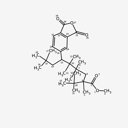 COC(=O)C(C)(CC(C)(C)C(C)(C)C(CC(C)(C)C)c1ccc2c(c1)C(=O)OC2=O)C(C)(C)C